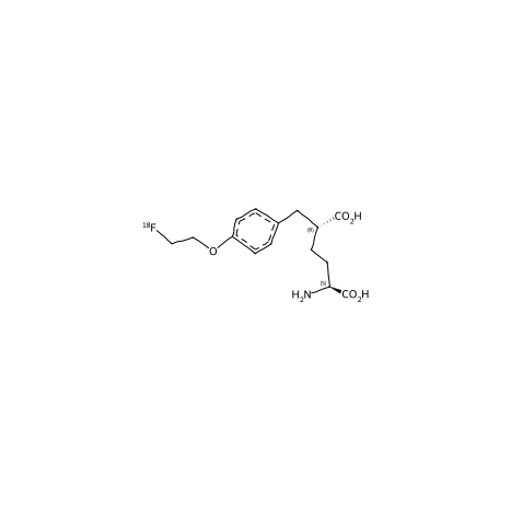 N[C@@H](CC[C@H](Cc1ccc(OCC[18F])cc1)C(=O)O)C(=O)O